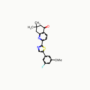 COc1cc(F)cc(-c2cnc(-c3ccc4c(n3)CC(C)(C)CC4=O)s2)c1